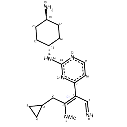 CN/C(CC1CC1)=C(\C=N)c1ccnc(N[C@H]2CC[C@H](N)CC2)n1